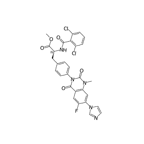 COC(=O)[C@H](Cc1ccc(-n2c(=O)c3cc(F)c(-n4ccnc4)cc3n(C)c2=O)cc1)NC(=O)c1c(Cl)cccc1Cl